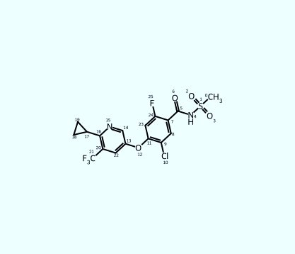 CS(=O)(=O)NC(=O)c1cc(Cl)c(Oc2cnc(C3CC3)c(C(F)(F)F)c2)cc1F